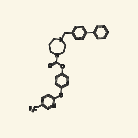 O=C(Oc1ccc(Oc2ccc(C(F)(F)F)cn2)cc1)N1CCCN(Cc2ccc(-c3ccccc3)cc2)CC1